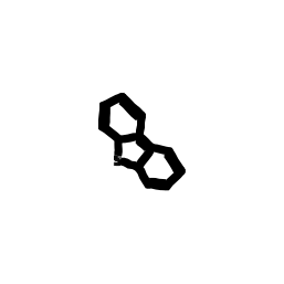 C1=CC2=C3C=CC=CC3SC2C=C1